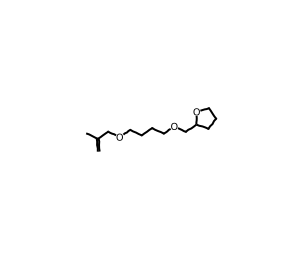 C=C(C)COCCCCOCC1CCCO1